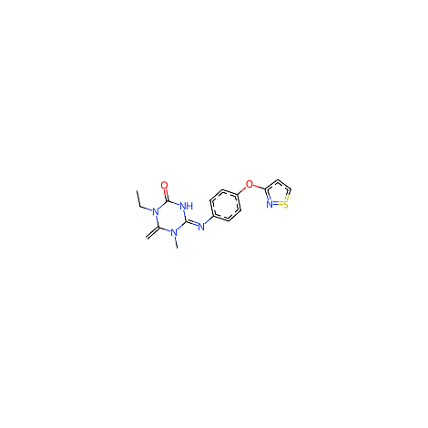 C=C1N(CC)C(=O)N/C(=N\c2ccc(Oc3ccsn3)cc2)N1C